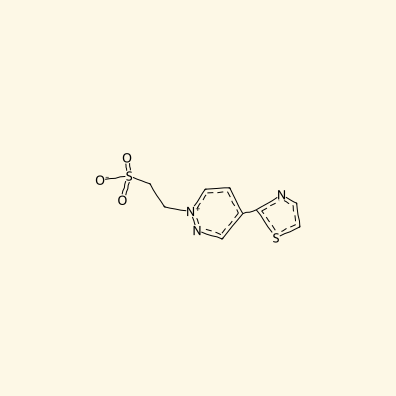 O=S(=O)([O-])CC[n+]1ccc(-c2nccs2)cn1